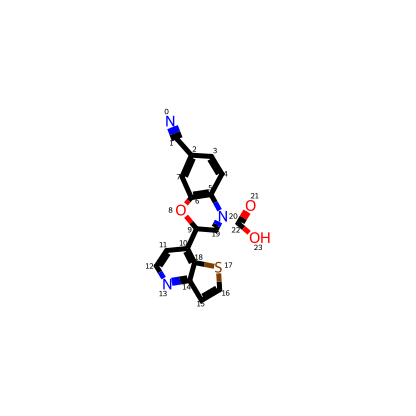 N#Cc1ccc2c(c1)OC(c1ccnc3ccsc13)C=N2.O=CO